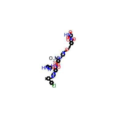 CC1(C)CCC(CN2CCN(c3ccc(C(=O)NS(=O)(=O)c4ccc(NCC5CCN(CCOCC#Cc6ccc7c(c6)C(=O)N(C6CCC(=O)NC6=O)C7=O)CC5)c([N+](=O)[O-])c4)c(Oc4cnc5[nH]ccc5c4)c3)CC2)=C(c2ccc(Cl)cc2)C1